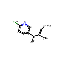 CCCC(C(=CNC)[N+](=O)[O-])c1ccc(Cl)nc1